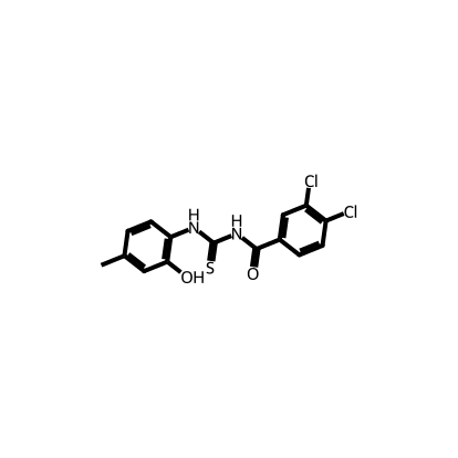 Cc1ccc(NC(=S)NC(=O)c2ccc(Cl)c(Cl)c2)c(O)c1